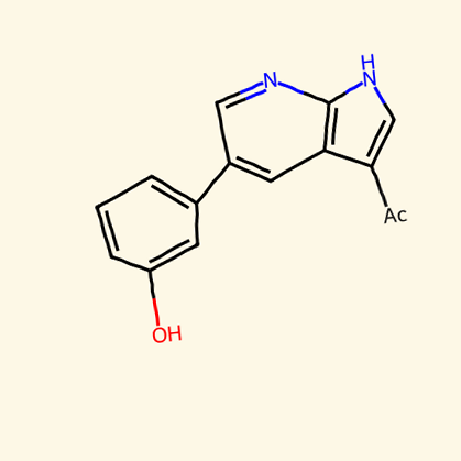 CC(=O)c1c[nH]c2ncc(-c3cccc(O)c3)cc12